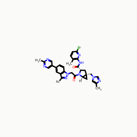 CC(=O)c1nn(CC(=O)N2[C@H](C(=O)Nc3nc(Br)ccc3C)C[C@@]3(Cn4cnc(C)c4)C[C@@H]23)c2ccc(-c3cnc(C)nc3)cc12